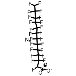 O=S(=O)([O-])C(F)C(F)(F)C(F)(F)C(F)(F)C(F)(F)C(F)(F)C(F)(F)C(F)(F)C(F)(F)C(F)(F)C(F)(F)C(F)F.[Na+]